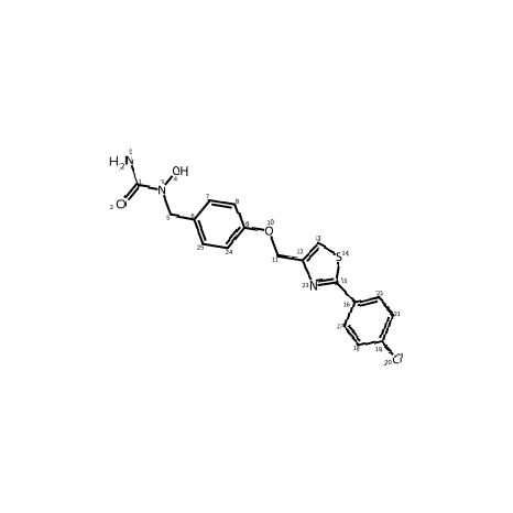 NC(=O)N(O)Cc1ccc(OCc2csc(-c3ccc(Cl)cc3)n2)cc1